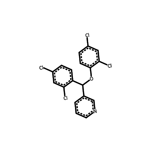 Clc1ccc(OC(c2cccnc2)c2ccc(Cl)cc2Cl)c(Cl)c1